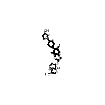 O[C@H]1CCN(c2ccc(-c3c(F)cc4[nH]c(O[C@@H]5CO[C@H]6[C@@H]5OC[C@H]6O)nc4c3F)cc2)C1